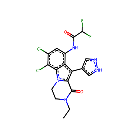 CCN1CCn2c(c(-c3cn[nH]c3)c3c(NC(=O)C(F)F)cc(Cl)c(Cl)c32)C1=O